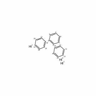 I.I.I.c1ccccc1.c1ccccc1.c1ccccc1